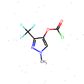 Cn1cc(OC(=O)Cl)c(C(F)(F)F)n1